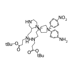 CC(C)(C)OC(=O)CCNCCC1CNCCN1[N+]1(CCNCCC(=O)OC(C)(C)C)CC[N+](c2ccc(N)cc2)(c2ccc([N+](=O)[O-])cc2)CC1